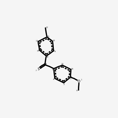 COc1ccc(C(=S)c2ccc(C)cc2)cc1